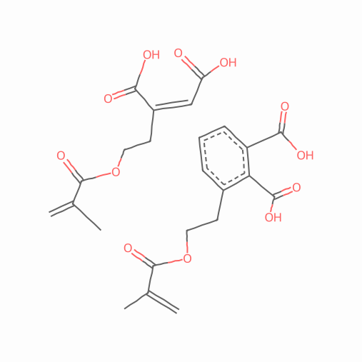 C=C(C)C(=O)OCCC(=CC(=O)O)C(=O)O.C=C(C)C(=O)OCCc1cccc(C(=O)O)c1C(=O)O